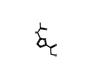 CC(=O)Nc1ccc(C(=O)CCl)s1